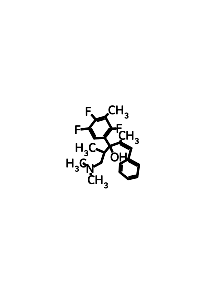 CC(=Cc1ccccc1)C(O)(c1cc(F)c(F)c(C)c1F)C(C)CN(C)C